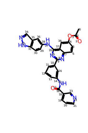 CC(=O)Oc1ccc2nc(-c3cccc(NC(=O)c4cccnc4)c3)nc(Nc3ccc4[nH]ncc4c3)c2c1